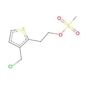 CS(=O)(=O)OCCc1sccc1CCl